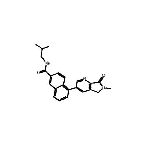 CC(C)CNC(=O)c1ccc2c(-c3cnc4c(c3)CN(C)C4=O)cccc2c1